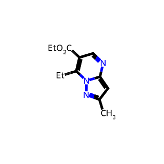 CCOC(=O)c1cnc2cc(C)nn2c1CC